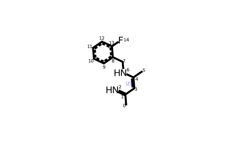 CC(=N)/C=C(/C)NCc1ccccc1F